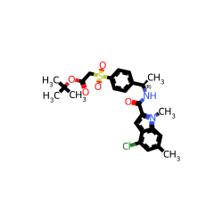 Cc1cc(Cl)c2cc(C(=O)N[C@H](C)c3ccc(S(=O)(=O)CC(=O)OC(C)(C)C)cc3)n(C)c2c1